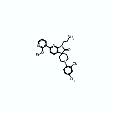 CCOc1ncccc1-c1ccc2c(n1)N(CCN)C(=O)C21CCN(c2ccc(C(F)(F)F)cc2C#N)CC1